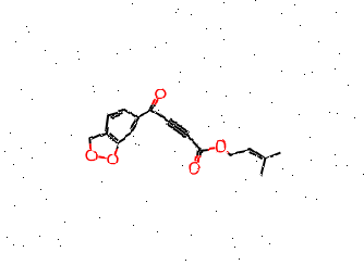 CC(C)=CCOC(=O)C#CC(=O)c1ccc2c(c1)OOC2